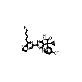 Nc1nc(-c2cn3ccnc3c(CCCCF)n2)nc2c1C(c1cc(C(F)(F)F)ccn1)(C1CC1)C(=O)N2